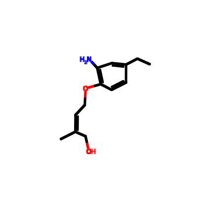 CCc1ccc(OCC=C(C)CO)c(N)c1